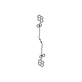 O=C(CCCCCCCCC#CC#CCCCCCCCCC(=O)OCc1ccc2ccc3cccc4ccc1c2c34)OCc1ccc2ccc3cccc4ccc1c2c34